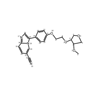 COC1COCC1OCCOc1ccc(-c2cnc3ccc(C#N)cn23)cc1